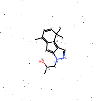 CC1=C2C=c3c(cnn3CC(C)O)=C2C(C)(C)C=C1